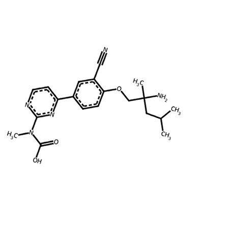 CC(C)CC(C)(N)COc1ccc(-c2ccnc(N(C)C(=O)O)n2)cc1C#N